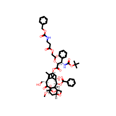 CO[C@H]1C[C@H]2OC[C@@]2(OC(C)=O)[C@H]2[C@H](OC(=O)c3ccccc3)[C@]3(O)C[C@H](OC(=O)[C@H](OC(=O)COC(=O)CCNC(=O)OCc4ccccc4)[C@@H](NC(=O)OC(C)(C)C)c4ccccc4)C(C)=C([C@@H](CO)C(=O)[C@]12C)C3(C)C